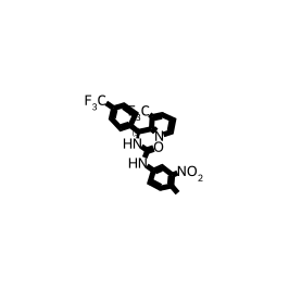 Cc1ccc(NC(=O)N[C@@H](c2ccc(C(F)(F)F)cc2)c2ncccc2C(F)(F)F)cc1[N+](=O)[O-]